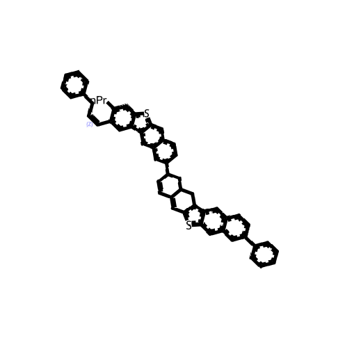 CCCc1cc2sc3cc4ccc(C5C=CC6=Cc7sc8cc9cc(-c%10ccccc%10)ccc9cc8c7CC6C5)cc4cc3c2cc1/C=C\Cc1ccccc1